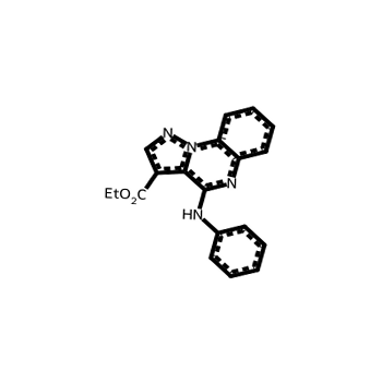 CCOC(=O)c1cnn2c1c(Nc1ccccc1)nc1ccccc12